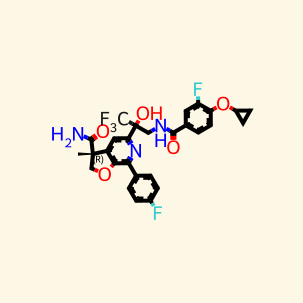 C[C@]1(C(N)=O)COc2c1cc(C(O)(CNC(=O)c1ccc(OC3CC3)c(F)c1)C(F)(F)F)nc2-c1ccc(F)cc1